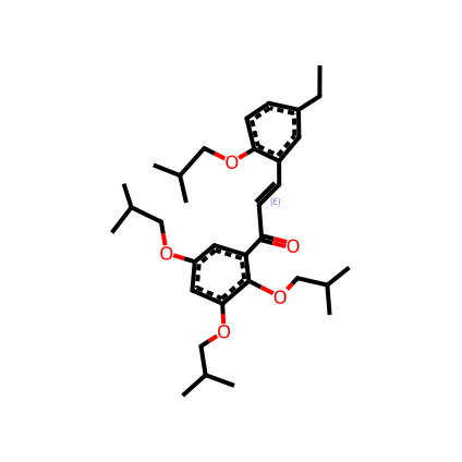 CCc1ccc(OCC(C)C)c(/C=C/C(=O)c2cc(OCC(C)C)cc(OCC(C)C)c2OCC(C)C)c1